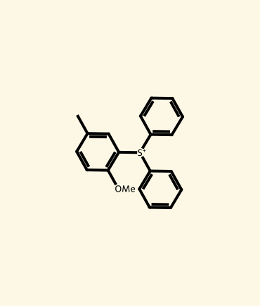 COc1ccc(C)cc1[S+](c1ccccc1)c1ccccc1